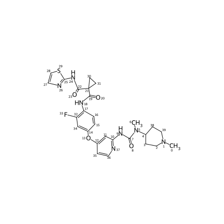 CN1CCC(N(C)C(=O)Nc2cc(Oc3ccc(NC(=O)C4(C(=O)Nc5nccs5)CC4)c(F)c3)ccn2)CC1